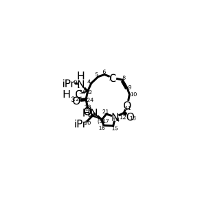 CC(C)N[C@]1(C)CCCCC=CCOC(=O)N2CC[C@@](C(=O)C(C)C)(C2)NCC1=O